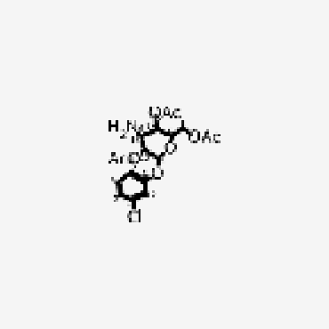 CC(=O)OCC1OC(Oc2cccc(Cl)c2)C(OC(C)=O)C(N)C1OC(C)=O